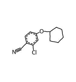 N#Cc1ccc(OC2CCCCC2)cc1Cl